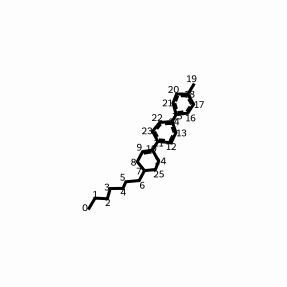 CCCCCCCC1CC=C(c2ccc(-c3ccc(C)cc3)cc2)CC1